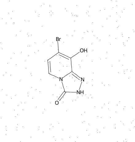 O=c1[nH]nc2c(O)c(Br)ccn12